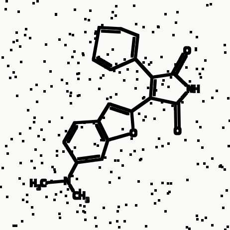 CN(C)c1ccc2cc(C3=C(c4ccccc4)C(=O)NC3=O)oc2c1